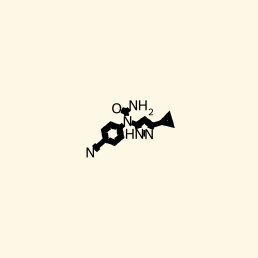 N#Cc1ccc(N(C(N)=O)c2cc(C3CC3)n[nH]2)cc1